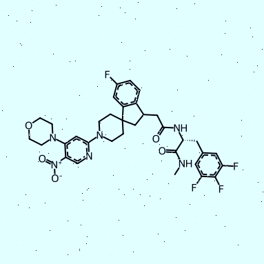 CNC(=O)[C@@H](Cc1cc(F)c(F)c(F)c1)NC(=O)CC1CC2(CCN(c3cc(N4CCOCC4)c([N+](=O)[O-])cn3)CC2)c2cc(F)ccc21